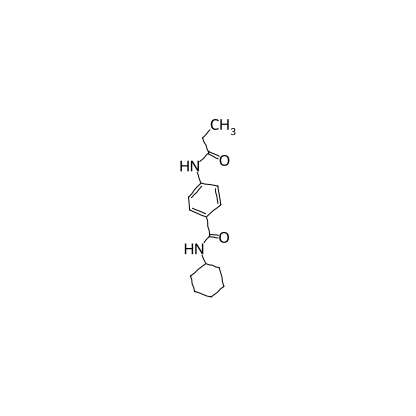 CCC(=O)Nc1ccc(C(=O)NC2CCCCC2)cc1